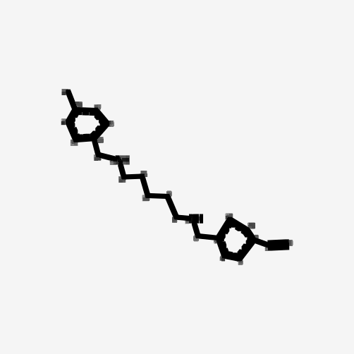 C#Cc1ccc(CNCCCCCNCc2ccc(C)cc2)cc1